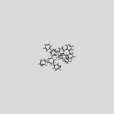 c1ccc(-c2nc(-c3cc(-c4cccnc4)cc(-c4cccnc4)c3)nc(-c3ccc4c(c3)C3(c5ccccc5-c5ccccc5-4)c4ccccc4-c4ccccc43)n2)cc1